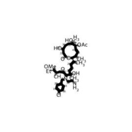 CC[C@H](OC)[C@@H](C)C1OC1C(N(CCN)Cc1ccc(Cl)cc1)C(C)(O)/C=C/C=C(\C)[C@H]1OC(=O)CC(O)CCC(C)(O)[C@@H](OC(C)=O)/C=C/C1C